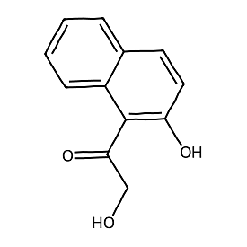 O=C(CO)c1c(O)ccc2ccccc12